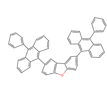 c1ccc(-c2c3ccccc3c(-c3ccc4oc5ccc(-c6c7ccccc7c(-c7ccccc7)c7ccccc67)cc5c4c3)c3ccccc23)cc1